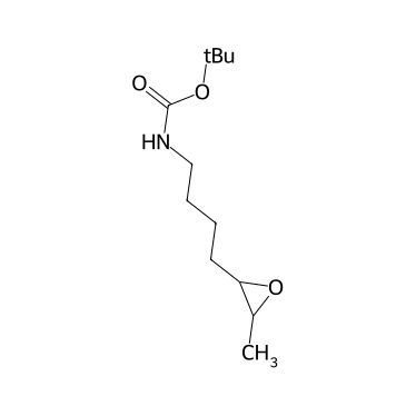 CC1OC1CCCCNC(=O)OC(C)(C)C